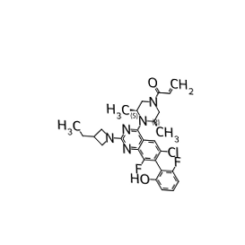 C=CC(=O)N1C[C@@H](C)N(c2nc(N3CC(CC)C3)nc3c(F)c(-c4c(O)cccc4F)c(Cl)cc23)[C@@H](C)C1